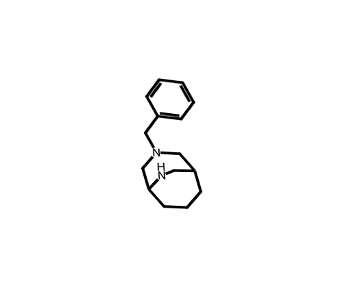 c1ccc(CN2CC3CCCC(C2)NC3)cc1